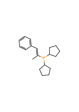 CC(=Cc1ccccc1)P(C1CCCC1)C1CCCC1